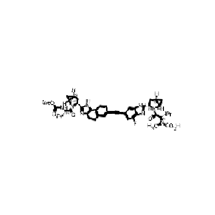 COC(=O)N[C@H](C(=O)N1[C@@H]2C[C@H]2C[C@H]1c1nc2ccc3cc(C#Cc4cc(F)c5nc([C@@H]6C[C@H]7C[C@H]7N6C(=O)[C@H](C(C)C)N(C)C(=O)O)[nH]c5c4)ccc3c2[nH]1)C(C)C